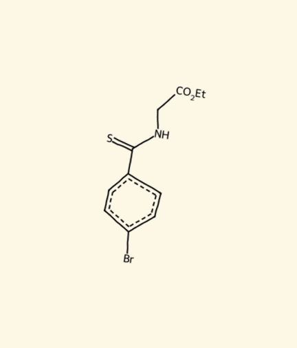 CCOC(=O)CNC(=S)c1ccc(Br)cc1